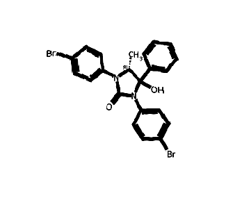 C[C@H]1N(c2ccc(Br)cc2)C(=O)N(c2ccc(Br)cc2)C1(O)c1ccccc1